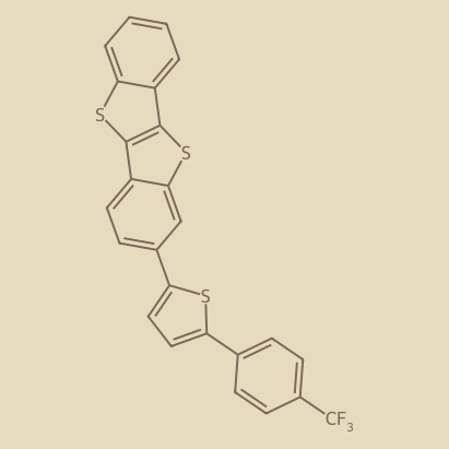 FC(F)(F)c1ccc(-c2ccc(-c3ccc4c(c3)sc3c5ccccc5sc43)s2)cc1